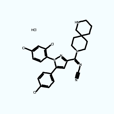 Cl.N#CN=C(c1cc(-c2ccc(Cl)cc2)n(-c2ccc(Cl)cc2Cl)n1)N1CCC2(CCCNC2)CC1